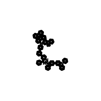 CC1(C)c2ccccc2-c2ccc(N(c3ccc(-c4cccc(-c5ccc6nc(-n7c8ccccc8c8cc(-c9ccc%10c(c9)c9ccccc9n%10-c9ccccc9)ccc87)nc(-c7ccccc7)c6c5)c4)cc3)c3cccc4c3-c3ccccc3C43c4ccccc4-c4ccccc43)cc21